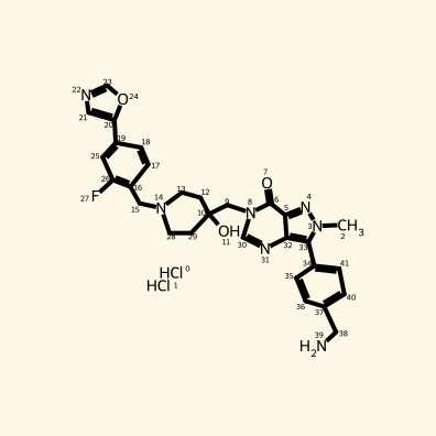 Cl.Cl.Cn1nc2c(=O)n(CC3(O)CCN(Cc4ccc(-c5cnco5)cc4F)CC3)cnc2c1-c1ccc(CN)cc1